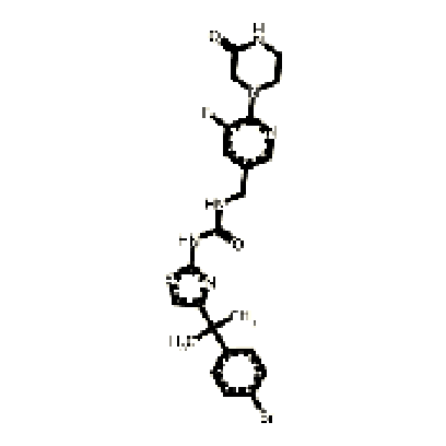 CC(C)(c1ccc(Br)cc1)c1csc(NC(=O)NCc2cnc(N3CCNC(=O)C3)c(F)c2)n1